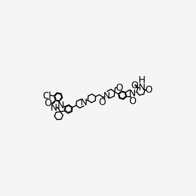 O=C1CC[C@H](N2Cc3c(ccc4c3OCC43CCN(C(=O)CC4CCC(N5CCC(c6ccc7c(c6)-n6c(nc(=O)c8c(Cl)cccc86)C76CCCCC6)CC5)CC4)CC3)C2=O)C(=O)N1